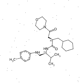 Cc1ccc(NC[C@@H](NC(=O)[C@@H](CC(=O)N2CCOCC2)CC2CCCCC2)C(C)C)cc1